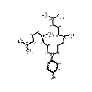 CC(C)c1ccc(N(CCCN(C)CCCN(C)C)CCCN(C)CCCN(C)C)cc1